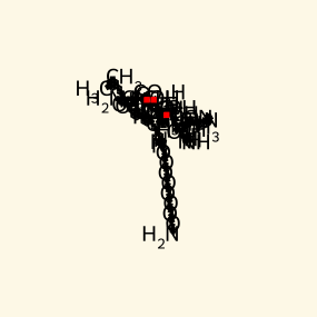 CCc1cc(OCCCCn2cc(COCCOCCOCCOCCOCCOCCOCCOCCN)nn2)ccc1-c1ccc(C[C@H](NC(=O)[C@H](CC(=O)O)NC(=O)[C@H](C)NC(=O)[C@@H](NC(=O)C(C)(Cc2ccccc2F)NC(=O)[C@@H](NC(=O)CNC(=O)[C@H](Cc2nn[nH]n2)NC(=O)C(C)(C)C(=O)NCCc2cnc[nH]2)[C@@H](C)O)[C@@H](C)O)C(=O)N[C@@H](CCCc2cc(C)cc(C)c2)C(N)=O)cc1